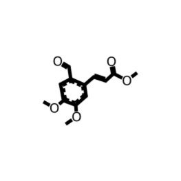 COC(=O)/C=C/c1cc(OC)c(OC)cc1C=O